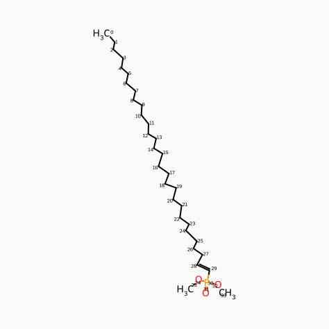 CCCCCCCCCCCCCCCCCCCCCCCCCCCCC=CP(=O)(OC)OC